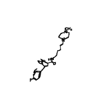 CN1CCN(CCCCCNC(=O)c2cc(-c3ccc(F)s3)on2)CC1